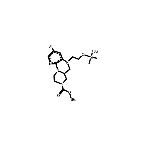 CC(C)(C)OC(=O)N1CCN2c3ncc(Br)cc3N(CCO[Si](C)(C)C(C)(C)C)CC2C1